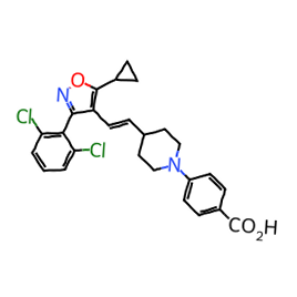 O=C(O)c1ccc(N2CCC(C=Cc3c(-c4c(Cl)cccc4Cl)noc3C3CC3)CC2)cc1